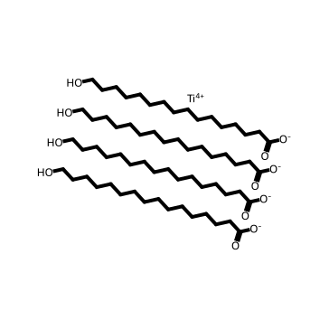 O=C([O-])CCCCCCCCCCCCCCCO.O=C([O-])CCCCCCCCCCCCCCCO.O=C([O-])CCCCCCCCCCCCCCCO.O=C([O-])CCCCCCCCCCCCCCCO.[Ti+4]